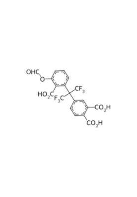 O=COc1cccc(C(c2ccc(C(=O)O)c(C(=O)O)c2)(C(F)(F)F)C(F)(F)F)c1C(=O)O